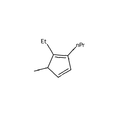 CCCC1=C(CC)[C](C)C=C1